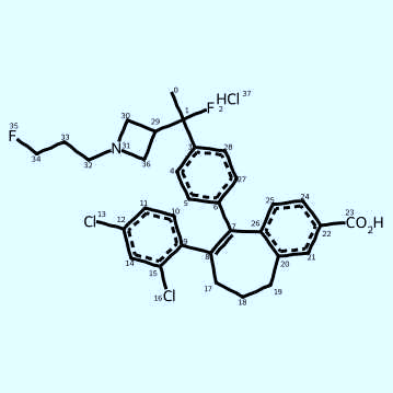 CC(F)(c1ccc(C2=C(c3ccc(Cl)cc3Cl)CCCc3cc(C(=O)O)ccc32)cc1)C1CN(CCCF)C1.Cl